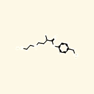 COCCOCCC(C)C(=O)Oc1ccc(CO)cc1